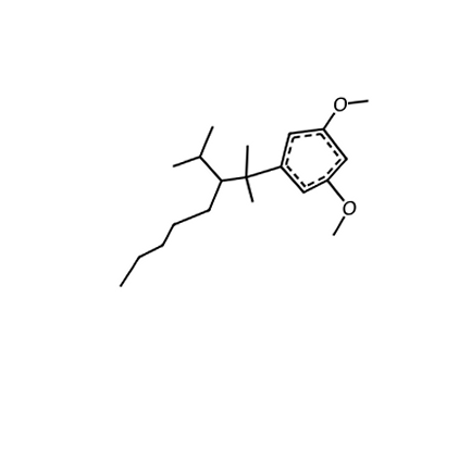 CCCCCC(C(C)C)C(C)(C)c1cc(OC)cc(OC)c1